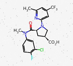 Cc1cc(C(F)(F)F)cc(N2C[C@@H](C(=O)O)C[C@H]2C(=O)N(C)c2ccc(F)c(Cl)c2)n1